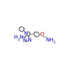 NCCOc1ccc(-c2cn(-c3ccccc3)c3c(N)ncnc23)cc1